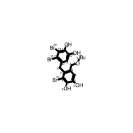 CCC(C)OCc1cc(O)c(O)c(Br)c1Cc1cc(O)c(O)c(Br)c1Br